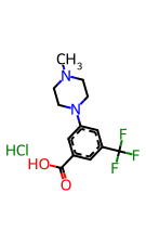 CN1CCN(c2cc(C(=O)O)cc(C(F)(F)F)c2)CC1.Cl